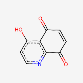 O=C1C=CC(=O)c2c(O)ccnc21